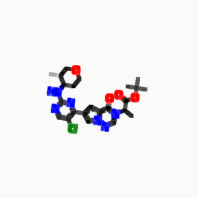 CC(C(=O)OC(C)(C)C)n1cnn2cc(-c3nc(N[C@@H]4CCOC[C@H]4C)ncc3Cl)cc2c1=O